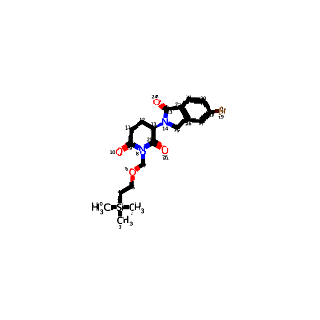 C[Si](C)(C)CCOCN1C(=O)CC[C@@H](N2Cc3cc(Br)ccc3C2=O)C1=O